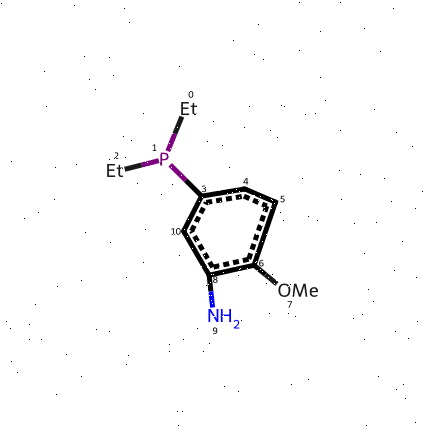 CCP(CC)c1ccc(OC)c(N)c1